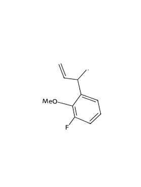 [CH2]C(C=C)c1cccc(F)c1OC